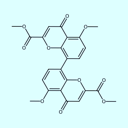 COC(=O)c1cc(=O)c2c(OC)ccc(-c3ccc(OC)c4c(=O)cc(C(=O)OC)oc34)c2o1